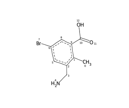 Cc1c(CN)cc(Br)cc1C(=O)O